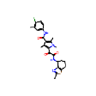 Cc1nc2c(s1)CCCC2NC(=O)C(=O)c1c(C)c(C(=O)Nc2ccc(F)c(C)c2)c(C)n1C